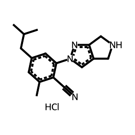 Cc1cc(CC(C)C)cc(-n2cc3c(n2)CNC3)c1C#N.Cl